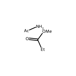 CC(N)=O.CCC(=O)OC